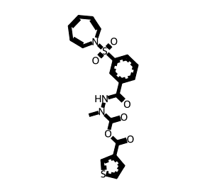 CN(NC(=O)c1cccc(S(=O)(=O)N2C=CC=CC=C2)c1)C(=O)OC(=O)c1ccsc1